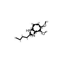 CCCCc1nc2c(OC)c(OC)ccc2[nH]1